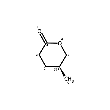 C[C@H]1CCC(=O)OC1